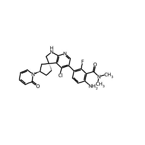 CN(C)C(=O)c1c(N)ccc(-c2cnc3c(c2Cl)[C@]2(CC[C@@H](n4ccccc4=O)C2)CN3)c1F